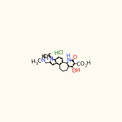 CN(C)Cc1cc2c3c(ccc2n1C)-c1[nH]c(=O)c(C(=O)O)c(O)c1CCC3.Cl